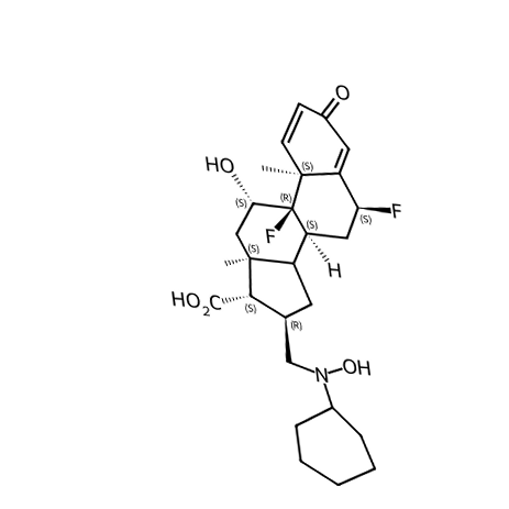 C[C@]12C[C@H](O)[C@@]3(F)[C@@H](C[C@H](F)C4=CC(=O)C=C[C@@]43C)C1C[C@@H](CN(O)C1CCCCC1)[C@@H]2C(=O)O